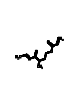 C=CC(=O)OCCN(C)C(=O)N=CC